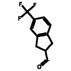 O=[C]C1Cc2ccc(C(F)(F)F)cc2C1